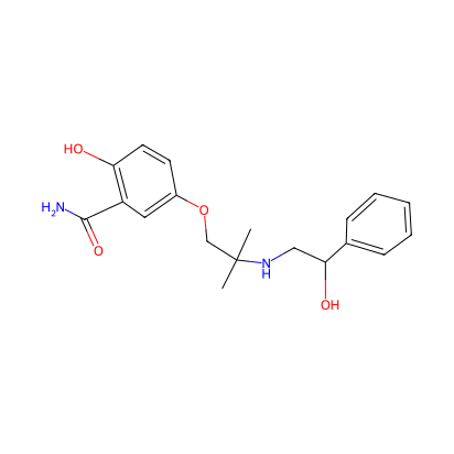 CC(C)(COc1ccc(O)c(C(N)=O)c1)NCC(O)c1ccccc1